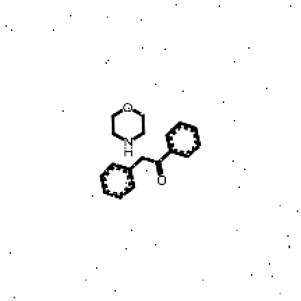 C1COCCN1.O=C(Cc1ccccc1)c1ccccc1